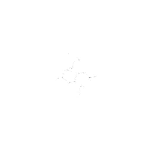 CC(=O)Nc1c(C(=O)O)cc(F)cc1[N+](=O)[O-]